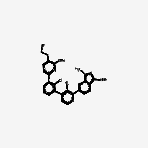 COc1nc(-c2cccc(-c3ccnc(-c4ccc5c(C=O)nn(C)c5c4)c3Cl)c2Cl)ccc1CC[C](C)C